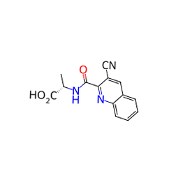 C[C@H](NC(=O)c1nc2ccccc2cc1C#N)C(=O)O